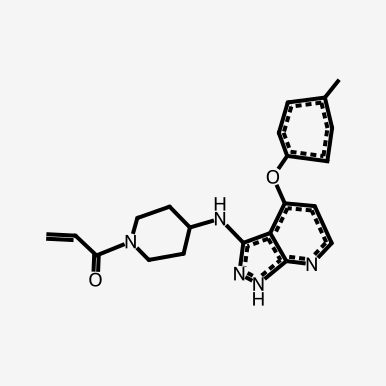 C=CC(=O)N1CCC(Nc2n[nH]c3nccc(Oc4ccc(C)cc4)c23)CC1